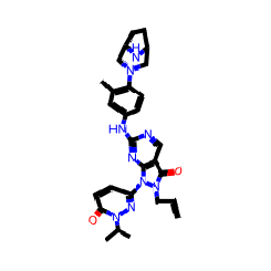 C=CCn1c(=O)c2cnc(Nc3ccc(N4CC5CCC(C4)N5)c(C)c3)nc2n1-c1ccc(=O)n(C(C)C)n1